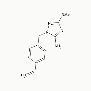 C=Cc1ccc(Cn2nc(NC)nc2N)cc1